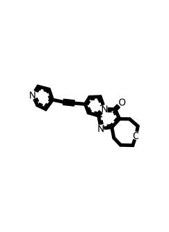 O=c1c2c(nc3cc(C#Cc4ccncc4)ccn13)CCCCCC2